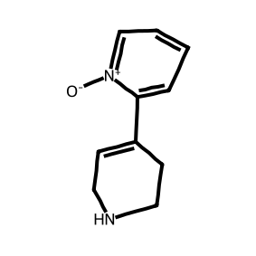 [O-][n+]1ccccc1C1=CCNCC1